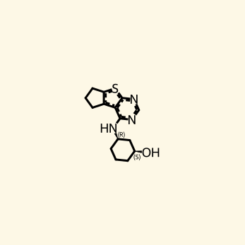 O[C@H]1CCC[C@@H](Nc2ncnc3sc4c(c23)CCC4)C1